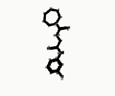 N=C(CNC(=N)N1CCCCCC1)Nc1cccc(Cl)c1